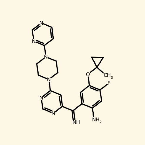 CC1(Oc2cc(C(=N)c3cc(N4CCN(c5ccncn5)CC4)ncn3)c(N)cc2F)CC1